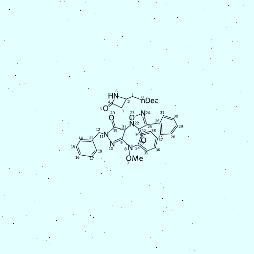 CCCCCCCCCCCC1CC(=O)N1.CON(C1=NN(Cc2ccccc2)C(=O)C1n1onc(-c2ccccc2)c1=O)c1ccccc1